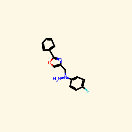 NN(Cc1coc(-c2ccccc2)n1)c1ccc(F)cc1